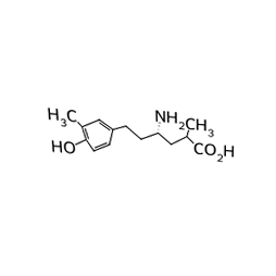 Cc1cc(CC[C@H](N)CC(C)C(=O)O)ccc1O